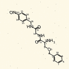 NC(COCc1ccccc1)C(=O)NCC(=O)NCc1ccc(N=O)cc1